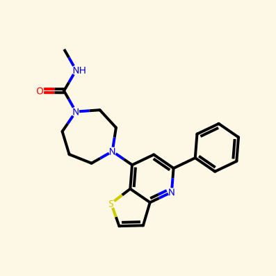 CNC(=O)N1CCCN(c2cc(-c3ccccc3)nc3ccsc23)CC1